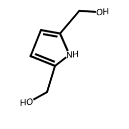 OCc1ccc(CO)[nH]1